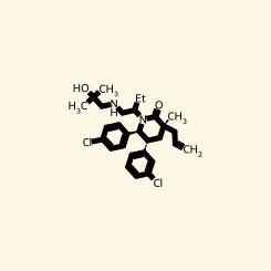 C=CC[C@@]1(C)C[C@H](c2cccc(Cl)c2)[C@@H](c2ccc(Cl)cc2)N(C(CC)CNCC(C)(C)O)C1=O